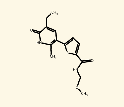 CCc1cc(-c2ccc(C(=O)NCOC)s2)c(C)[nH]c1=O